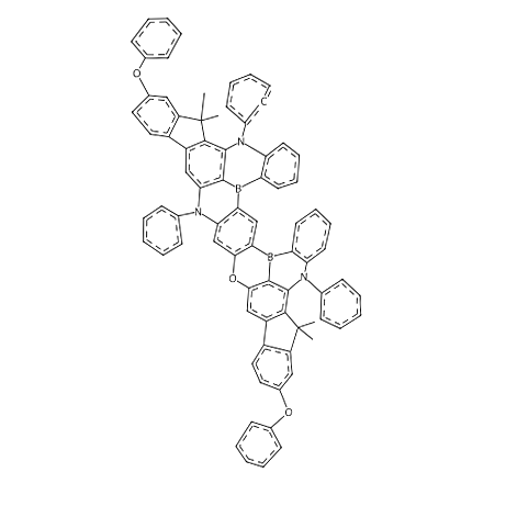 CC1(C)c2cc(Oc3ccccc3)ccc2-c2cc3c4c(c21)N(c1ccccc1)c1ccccc1B4c1cc2c(cc1O3)N(c1ccccc1)c1cc3c(c4c1B2c1ccccc1N4c1ccccc1)C(C)(C)c1cc(Oc2ccccc2)ccc1-3